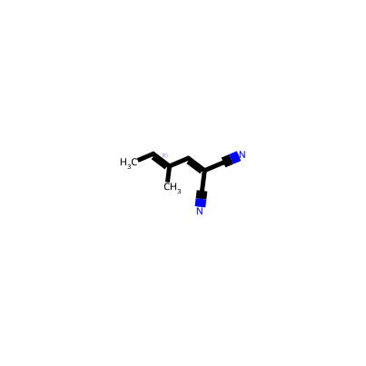 C/C=C(\C)C=C(C#N)C#N